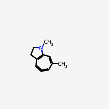 CC1=CC2=C(C=C=C1)CCN2C